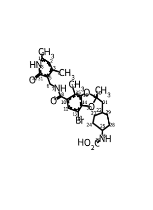 Cc1cc(C)c(CNC(=O)c2cc(Br)c3c(c2C)OC(C)(CC2CCC(NC(=O)O)CC2)O3)c(=O)[nH]1